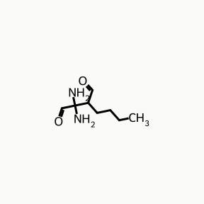 CCCCC(C=O)C(N)(N)C=O